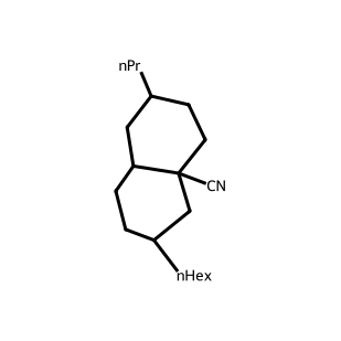 CCCCCCC1CCC2CC(CCC)CCC2(C#N)C1